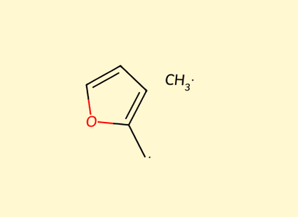 [CH2]c1ccco1.[CH3]